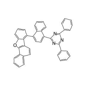 c1ccc(-c2nc(-c3ccccc3)nc(-c3ccc(-c4cccc5oc6c7ccccc7ccc6c45)c4ccccc34)n2)cc1